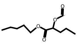 CCCCCOC(=O)C(CCC)O[C]=O